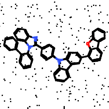 c1ccc(-c2ccccc2-n2c(-c3ccc(-n4c5ccccc5c5cc(-c6cccc7c6oc6ccccc67)ccc54)cc3)nc3ccccc32)cc1